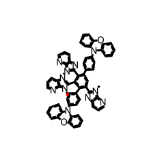 Cn1c(-c2cc(-c3ccc(N4c5ccccc5Oc5ccccc54)cc3)c(-c3nc4cccnc4n3C)c(-c3nc4cccnc4n3C)c2-c2ccc(N3c4ccccc4Oc4ccccc43)cc2)nc2cccnc21